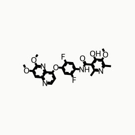 COc1cc2nccc(Oc3cc(F)c(NC(=O)c4c(C)nc(C)c(OC)c4O)cc3F)c2nc1OC